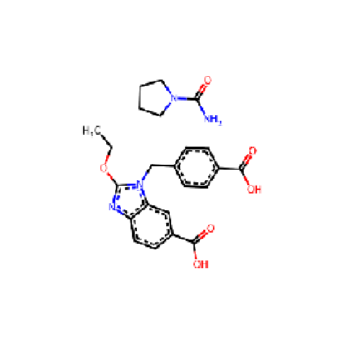 CCOc1nc2ccc(C(=O)O)cc2n1Cc1ccc(C(=O)O)cc1.NC(=O)N1CCCC1